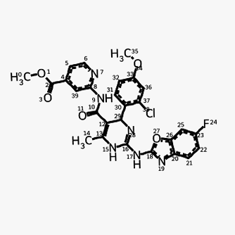 COC(=O)c1ccnc(NC(=O)C2=C(C)NC(Nc3nc4ccc(F)cc4o3)=NC2c2ccc(OC)cc2Cl)c1